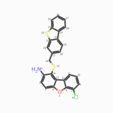 Nc1ccc2oc3c(Cl)cccc3c2c1SCc1ccc2c(c1)sc1ccccc12